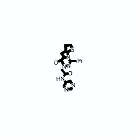 CC(C)c1nn(CC(=O)Nc2cncnc2)c(=O)c2cc3ccsc3n12